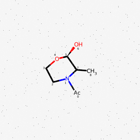 CC(=O)N1CCO[C@@H](O)C1C